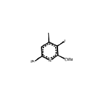 COc1nc(C(C)C)cc(C)c1F